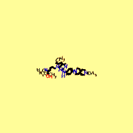 C=N/C(=C\C=C/Cn1c(CC)cc2cnc(Nc3ccc(N4CCC5(CCN(C)CC5)CC4)cc3)nc21)C(C)(C)O